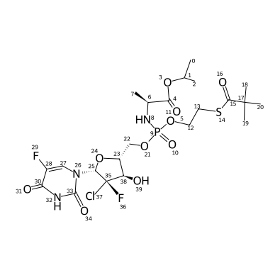 CC(C)OC(=O)[C@H](C)NP(=O)(OCCSC(=O)C(C)(C)C)OC[C@H]1O[C@@H](n2cc(F)c(=O)[nH]c2=O)[C@@](F)(Cl)[C@@H]1O